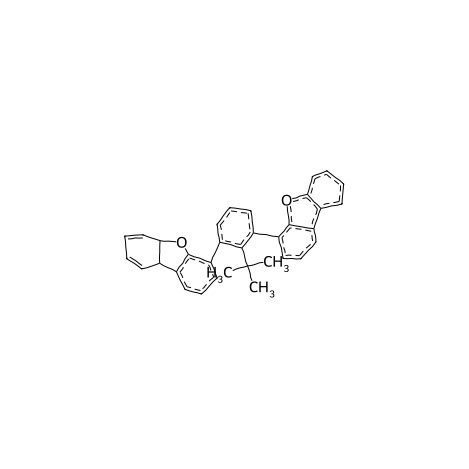 CC(C)(C)c1c(-c2cccc3c2OC2C=CC=CC32)cccc1-c1cccc2c1oc1ccccc12